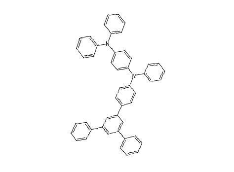 c1ccc(-c2cc(-c3ccccc3)cc(-c3ccc(N(c4ccccc4)c4ccc(N(c5ccccc5)c5ccccc5)cc4)cc3)c2)cc1